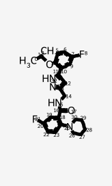 CC(C)Oc1ccc(F)cc1-c1cc(CNC(=O)c2cc(F)ccc2N2CCCCC2)n[nH]1